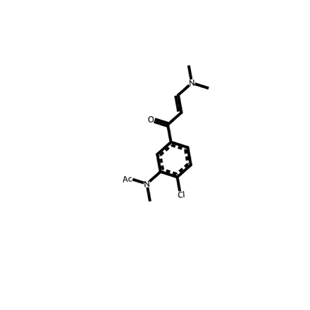 CC(=O)N(C)c1cc(C(=O)C=CN(C)C)ccc1Cl